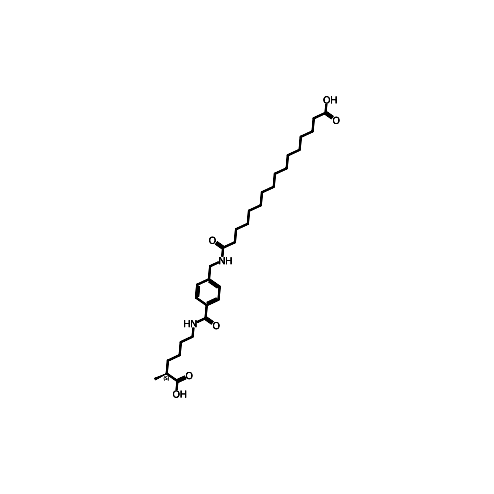 C[C@@H](CCCCNC(=O)c1ccc(CNC(=O)CCCCCCCCCCCCCCC(=O)O)cc1)C(=O)O